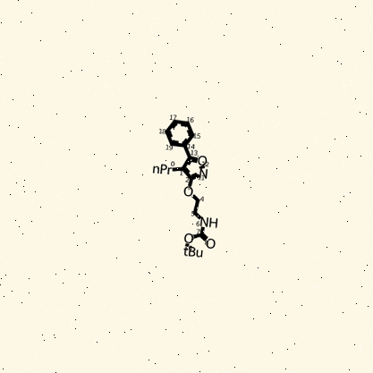 CCCc1c(OCCNC(=O)OC(C)(C)C)noc1-c1ccccc1